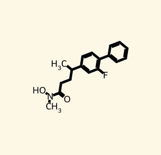 CC(CCC(=O)N(C)O)c1ccc(-c2ccccc2)c(F)c1